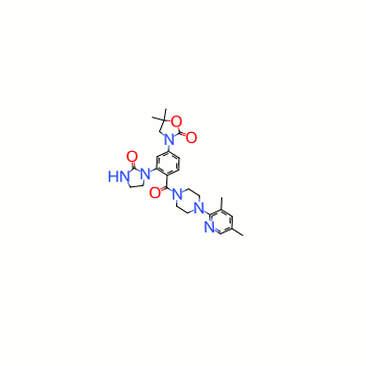 Cc1cnc(N2CCN(C(=O)c3ccc(N4CC(C)(C)OC4=O)cc3N3CCNC3=O)CC2)c(C)c1